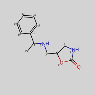 CC(NCC1CNC(=O)O1)c1ccccc1